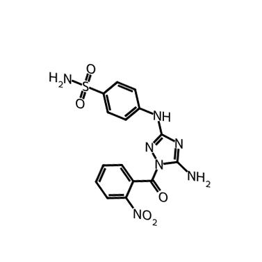 Nc1nc(Nc2ccc(S(N)(=O)=O)cc2)nn1C(=O)c1ccccc1[N+](=O)[O-]